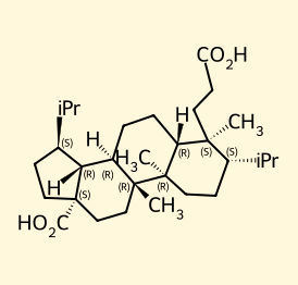 CC(C)[C@@H]1CC[C@]2(C(=O)O)CC[C@]3(C)[C@H](CC[C@@H]4[C@@](C)(CCC(=O)O)[C@H](C(C)C)CC[C@]43C)[C@@H]12